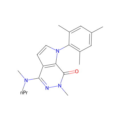 CCCN(C)c1nn(C)c(=O)c2c1ccn2-c1c(C)cc(C)cc1C